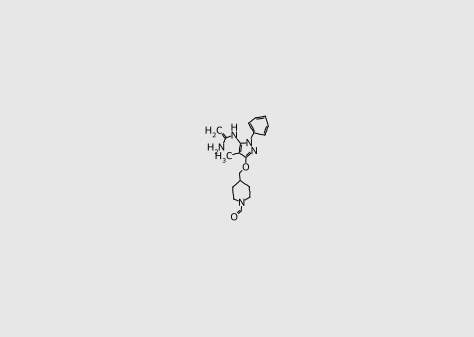 C=C(N)Nc1c(C)c(OCC2CCN(C=O)CC2)nn1-c1ccccc1